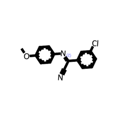 COc1ccc(/N=C(\C#N)c2cccc(Cl)c2)cc1